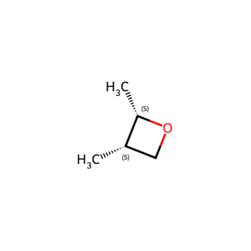 C[C@@H]1OC[C@@H]1C